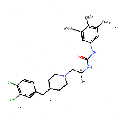 COc1cc(NC(=O)N[C@@H](CN2CCC(Cc3ccc(Cl)c(Cl)c3)CC2)C(C)C)cc(OC)c1OC